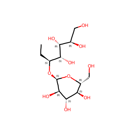 CC[C@H](O[C@H]1O[C@H](CO)[C@@H](O)[C@H](O)[C@H]1O)[C@@H](O)[C@H](O)[C@H](O)CO